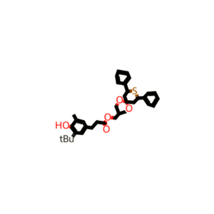 Cc1cc(CCC(=O)OCC2COC3(CC(c4ccccc4)SC(c4ccccc4)C3)OC2)cc(C(C)(C)C)c1O